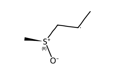 C[CH]C[S@+](C)[O-]